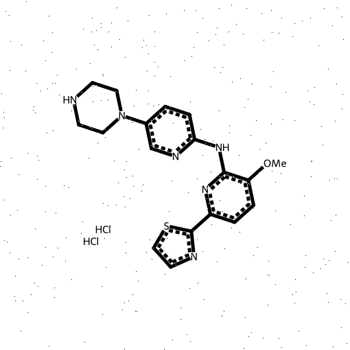 COc1ccc(-c2nccs2)nc1Nc1ccc(N2CCNCC2)cn1.Cl.Cl